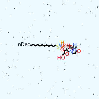 CCCCCCCCCCCCCCCCCCCCCCS/N=[PH](/O)OC1C(CO)OC(n2ccc(=O)[nH]c2=O)C1OC